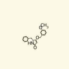 COc1cccc(COC2=CC(=O)N[C@H]2Cc2ccccc2)c1